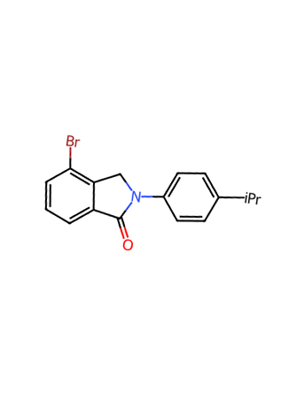 CC(C)c1ccc(N2Cc3c(Br)cccc3C2=O)cc1